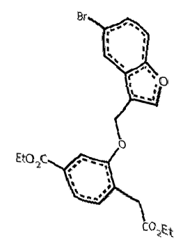 CCOC(=O)Cc1ccc(C(=O)OCC)cc1OCc1coc2ccc(Br)cc12